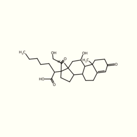 CCCCCC(C(=O)O)C1(C(=O)CO)CCC2C3CCC4=CC(=O)CCC4(C)C3C(O)CC21C